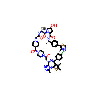 Cc1ncsc1-c1ccc([C@H](C)NC(=O)[C@@H]2C[C@@H](O)CN2C(=O)[C@@H](NC(=O)CN2CCC(C(=O)N3CCN(C(=O)C[C@@H]4N=C(c5ccc(Cl)cc5)c5c(sc(C)c5C)-n5c(C)nnc54)CC3)CC2)C(C)(C)C)cc1